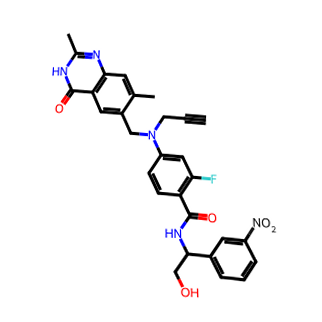 C#CCN(Cc1cc2c(=O)[nH]c(C)nc2cc1C)c1ccc(C(=O)NC(CO)c2cccc([N+](=O)[O-])c2)c(F)c1